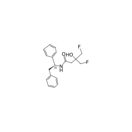 O=C(CC(O)(CF)CF)N[C@@H](Cc1ccccc1)c1ccccc1